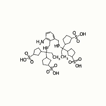 CCC(PCc1cccc(N)c1CPC(CC)(C1CCC(S(=O)(=O)O)C1)C1CCC(S(=O)(=O)O)C1)(C1CCC(S(=O)(=O)O)C1)C1CCC(S(=O)(=O)O)C1